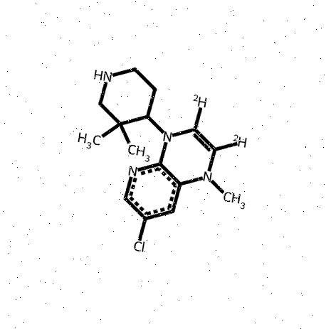 [2H]C1=C([2H])N(C2CCNCC2(C)C)c2ncc(Cl)cc2N1C